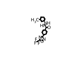 Cc1cccc(NNC(=O)c2ccc(-c3noc(C(F)(F)F)n3)cc2)c1